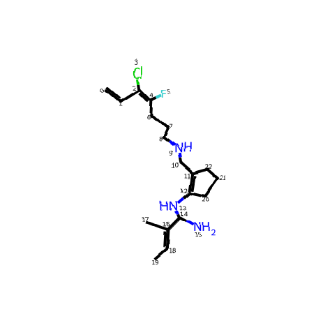 C=C/C(Cl)=C(/F)CCCNCC1=C(NC(N)/C(C)=C/C)CCC1